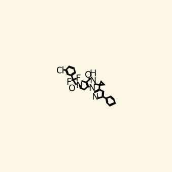 O=C(N1CCc2nc(C3(c4cncc(-c5ccccc5)c4)CC3)[nH]c(=O)c2C1)C(F)(F)c1cccc(Cl)c1